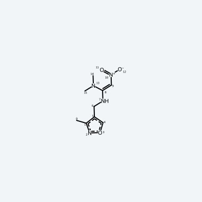 Cc1nocc1CN/C(=C/[N+](=O)[O-])N(C)C